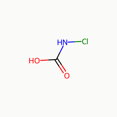 O=C(O)NCl